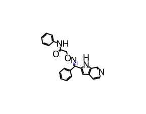 O=C(CO/N=C(\c1ccccc1)c1cc2ccncc2[nH]1)Nc1ccccc1